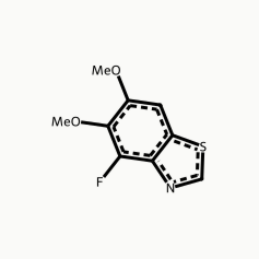 COc1cc2scnc2c(F)c1OC